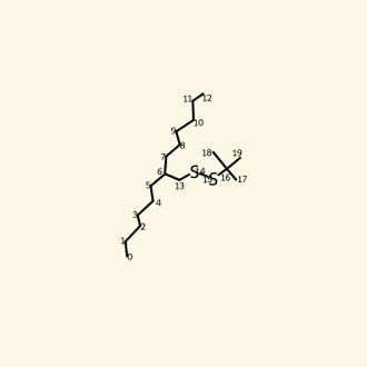 CCCCCCC(CCCCCC)CSSC(C)(C)C